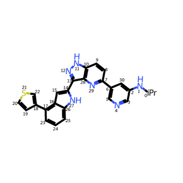 CC(C)Nc1cncc(-c2ccc3[nH]nc(-c4cc5c(-c6ccsc6)cccc5[nH]4)c3n2)c1